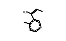 B/C(=C/C)c1cnccc1C